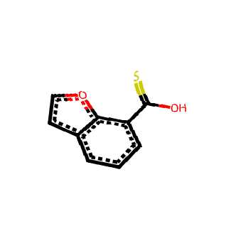 OC(=S)c1cccc2ccoc12